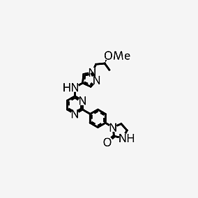 CO[C@H](C)Cn1cc(Nc2ccnc(-c3ccc(N4CCNC4=O)cc3)n2)cn1